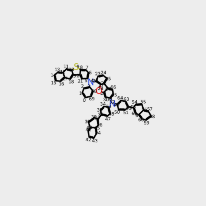 c1ccc(N(c2ccc3sc4cc5ccccc5cc4c3c2)c2cccc3c2oc2cc(N(c4ccc(-c5ccc6ccccc6c5)cc4)c4ccc(-c5ccc6ccccc6c5)cc4)ccc23)cc1